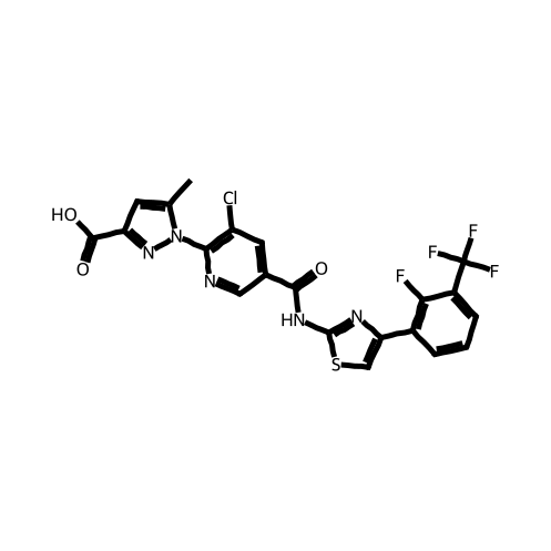 Cc1cc(C(=O)O)nn1-c1ncc(C(=O)Nc2nc(-c3cccc(C(F)(F)F)c3F)cs2)cc1Cl